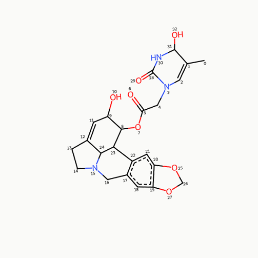 CC1=CN(CC(=O)OC2C(O)C=C3CCN4Cc5cc6c(cc5C2C34)OCO6)C(=O)NC1O